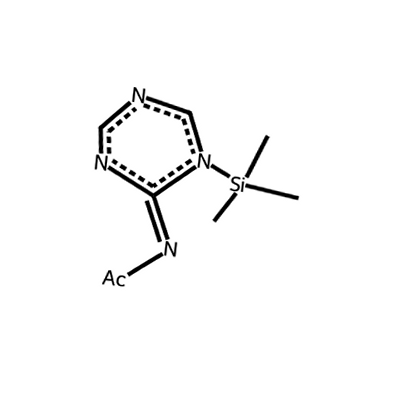 CC(=O)N=c1ncncn1[Si](C)(C)C